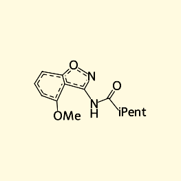 CCCC(C)C(=O)Nc1noc2cccc(OC)c12